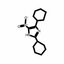 O=[N+]([O-])c1[nH]c(C2CCCCC2)nc1C1CCCCC1